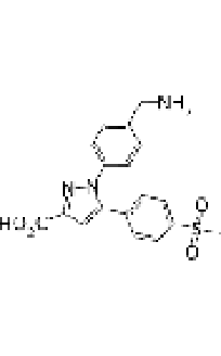 CS(=O)(=O)c1ccc(-c2cc(C(=O)O)nn2-c2ccc(CN)cc2)cc1